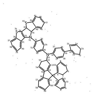 C1=CCCC(C2(c3ccccc3)C3=CC(N(c4ccc(C5=CCCC=C5)cc4)c4ccc(N5c6c(sc7ccccc67)C6Sc7ccccc7C65)cc4)CC=C3c3ccccc32)=C1